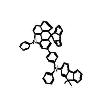 CC1(C)c2ccccc2-c2ccc(N(c3ccccc3)c3ccc(-c4cc5c6c7c8c(cccc8ccc7n(-c7ccccc7)c6c4)C54c5ccccc5-c5ccccc54)cc3)cc21